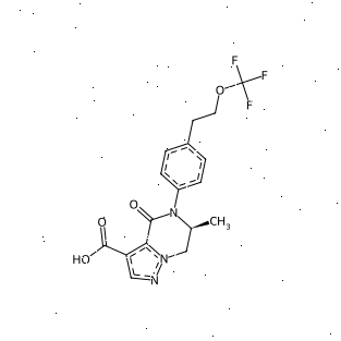 C[C@H]1Cn2ncc(C(=O)O)c2C(=O)N1c1ccc(CCOC(F)(F)F)cc1